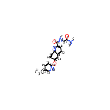 CN(C)C(=O)CN(C)C(=O)c1ccc2cc(Oc3ccc(C(F)(F)F)cn3)ccc2n1